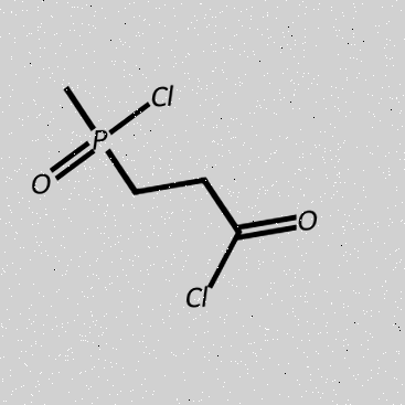 CP(=O)(Cl)CCC(=O)Cl